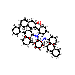 c1ccc(-c2ccc(N(c3ccccc3-c3ccccc3)c3c(N(c4ccccc4)c4ccccc4-c4ccc5ccccc5c4)ccc4oc5cc6ccccc6cc5c34)cc2)cc1